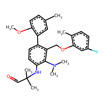 COc1ccc(C)cc1-c1ccc(NC(C)(C)C=O)c(N(C)C)c1COc1cc(F)ccc1C